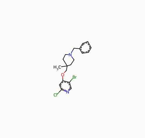 CC1(COc2cc(Cl)ncc2Br)CCN(Cc2ccccc2)CC1